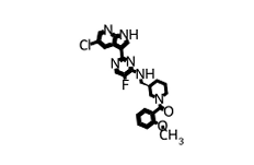 COc1ccccc1C(=O)N1CCC[C@H](CNc2nc(-c3c[nH]c4ncc(Cl)cc34)ncc2F)C1